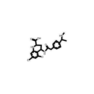 CNC(C)c1ccc(CC(=O)NC2CC(C(=O)O)Nc3cc(Cl)cc(Cl)c32)cc1